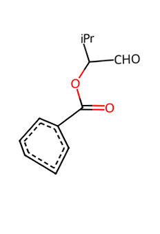 CC(C)C(C=O)OC(=O)c1ccccc1